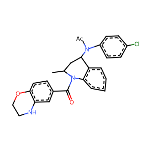 CC(=O)N(c1ccc(Cl)cc1)C1CC(C)N(C(=O)c2ccc3c(c2)NCCO3)c2ccccc21